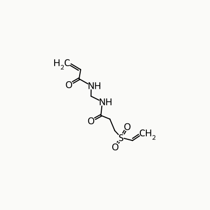 C=CC(=O)NCNC(=O)CCS(=O)(=O)C=C